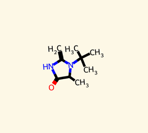 C=C1NC(=O)C(C)N1C(C)(C)C